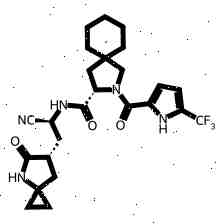 N#C[C@H](C[C@@H]1CC2(CC2)NC1=O)NC(=O)[C@@H]1CC2(CCCCC2)CN1C(=O)c1ccc(C(F)(F)F)[nH]1